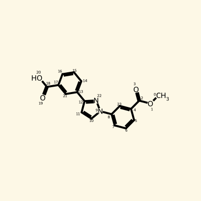 COC(=O)c1cccc(-n2ccc(-c3cccc(C(=O)O)c3)n2)c1